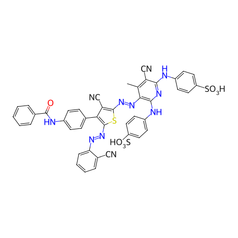 Cc1c(C#N)c(Nc2ccc(S(=O)(=O)O)cc2)nc(Nc2ccc(S(=O)(=O)O)cc2)c1N=Nc1sc(N=Nc2ccccc2C#N)c(-c2ccc(NC(=O)c3ccccc3)cc2)c1C#N